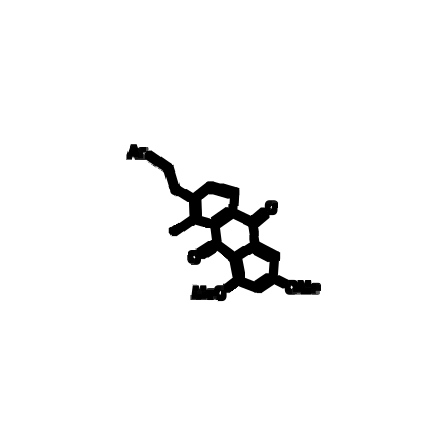 COc1cc(OC)c2c(c1)C(=O)c1ccc(CCC(C)=O)c(C)c1C2=O